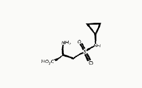 N[C@@H](CS(=O)(=O)NC1CC1)C(=O)O